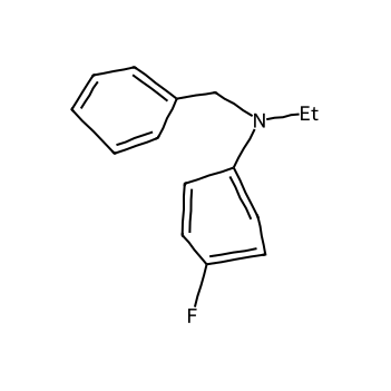 CCN(Cc1ccccc1)c1ccc(F)cc1